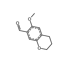 COc1cc2c(cc1C=O)OCCC2